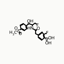 CS(=O)(=O)c1ccc([C@H](O)C(CF)NC(=O)Cc2ccc(B(O)O)c(F)c2)cc1